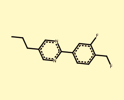 CCCc1cnc(-c2ccc(CF)c(F)c2)nc1